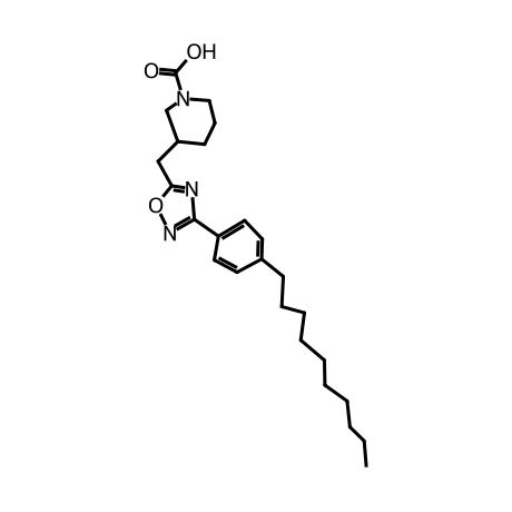 CCCCCCCCCCc1ccc(-c2noc(CC3CCCN(C(=O)O)C3)n2)cc1